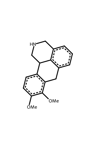 COc1ccc2c(c1OC)Cc1cccc3c1C2CNC3